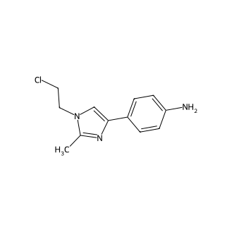 Cc1nc(-c2ccc(N)cc2)cn1CCCl